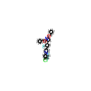 Fc1cc(-c2ccc(OCc3ccccc3)nc2OCc2ccccc2)ccc1C1CCN(c2ccc(Cl)c(F)c2F)CC1